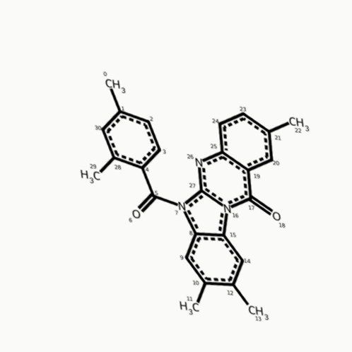 Cc1ccc(C(=O)n2c3cc(C)c(C)cc3n3c(=O)c4cc(C)ccc4nc23)c(C)c1